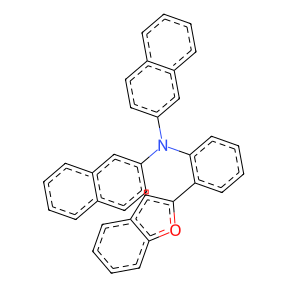 c1ccc(N(c2ccc3ccccc3c2)c2ccc3ccccc3c2)c(-c2cc3ccccc3o2)c1